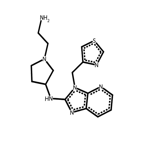 NCCN1CCC(Nc2nc3cccnc3n2Cc2cscn2)C1